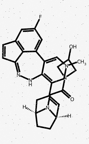 CN1C=C2C(=C(C3=C[C@H]4CC[C@@H](C3)N4CC(=O)N3CC(O)C3)C1)NN=C1C=Cc3cc(F)cc2c31